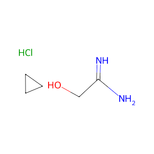 C1CC1.Cl.N=C(N)CO